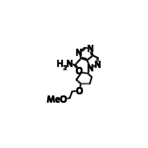 COCCOC1CCC(n2ncc3ncnc(C(N)=O)c32)CC1